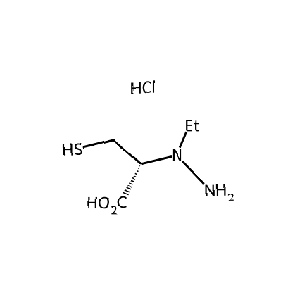 CCN(N)[C@@H](CS)C(=O)O.Cl